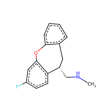 CNC[C@H]1Cc2ccccc2Oc2cc(F)ccc21